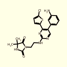 CC1(C)NC(=O)N(CCNc2ncc(-c3cccc(N)c3)c(-c3ccc(Cl)s3)n2)C1=O